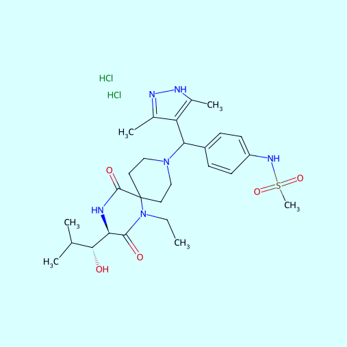 CCN1C(=O)[C@@H]([C@H](O)C(C)C)NC(=O)C12CCN(C(c1ccc(NS(C)(=O)=O)cc1)c1c(C)n[nH]c1C)CC2.Cl.Cl